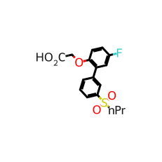 CCCS(=O)(=O)c1cccc(-c2cc(F)ccc2OCC(=O)O)c1